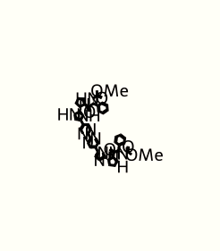 COC(=O)N[C@@H](C(=O)N1CCC[C@H]1c1ncc(-c2cnc(-c3ncc(C4=CNC([C@@H]5CCCN5C(=O)[C@H](NC(=O)OC)c5ccccc5)N4)cn3)nc2)[nH]1)c1ccccc1